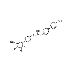 Cc1[nH]c(=O)c(C#N)cc1-c1ccc(OCC(O)CN2CCN(c3ccc(O)cc3)CC2)cc1